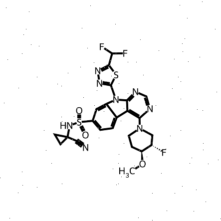 CO[C@H]1CCN(c2ncnc3c2c2ccc(S(=O)(=O)NC4(C#N)CC4)cc2n3-c2nnc(C(F)F)s2)C[C@@H]1F